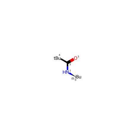 CC[C@H](C)NC(=O)C(C)(C)C